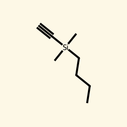 C#C[Si](C)(C)CCCC